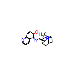 CN1/C(=C/N=C2\C(=O)C=Cc3ncccc32)C2CC3CC(C2)CC1C3